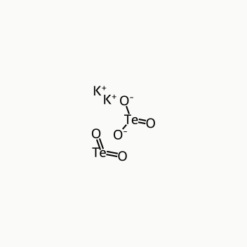 O=[Te]([O-])[O-].O=[Te]=O.[K+].[K+]